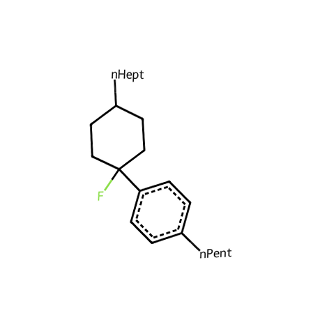 CCCCCCCC1CCC(F)(c2ccc(CCCCC)cc2)CC1